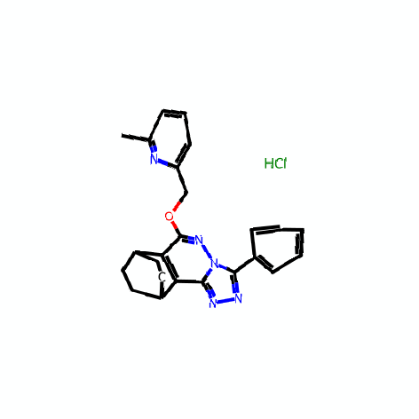 Cc1cccc(COc2nn3c(-c4ccccc4)nnc3c3c2C2CCC3CC2)n1.Cl